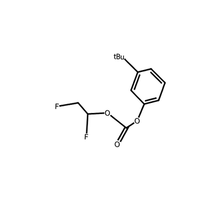 CC(C)(C)c1cccc(OC(=O)OC(F)CF)c1